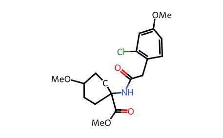 COC(=O)C1(NC(=O)Cc2ccc(OC)cc2Cl)CCC(OC)CC1